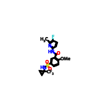 COc1ccc(S(=O)(=O)NC2(C(F)(F)F)CC2)cc1C(=O)Nc1ccc(F)c(C)n1